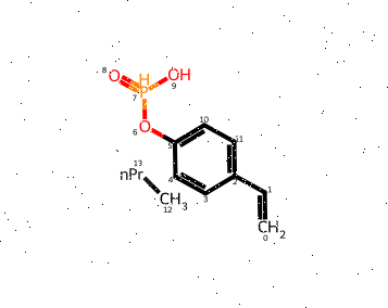 C=Cc1ccc(O[PH](=O)O)cc1.CCCC